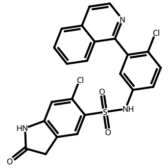 O=C1Cc2cc(S(=O)(=O)Nc3ccc(Cl)c(-c4nccc5ccccc45)c3)c(Cl)cc2N1